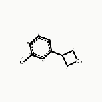 Clc1cccc(C2COC2)c1